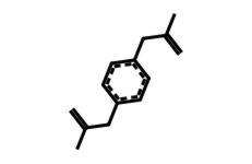 C=C(C)Cc1ccc(CC(=C)C)cc1